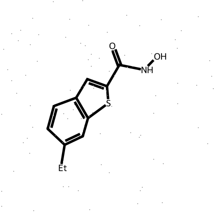 CCc1ccc2cc(C(=O)NO)sc2c1